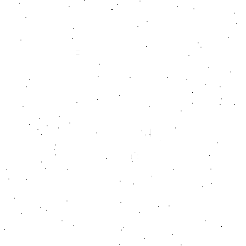 CC(C)(C)O[SiH2]c1ccc(F)cc1